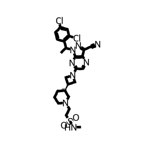 CNS(=O)(=O)CCN1CCC[C@@H](C2CN(c3cnc4c(C#N)nn(C(C)c5ccc(Cl)cc5Cl)c4n3)C2)C1